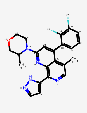 Cc1cnc(-c2ccn[nH]2)c2nc(N3CCOCC3C)cc(-c3cccc(F)c3F)c12